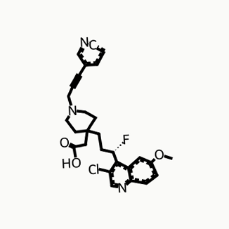 COc1ccc2ncc(Cl)c([C@@H](F)CCC3(CC(=O)O)CCN(CC#Cc4cccnc4)CC3)c2c1